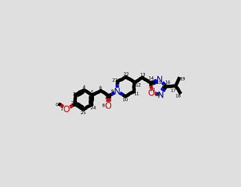 COc1ccc(CC(=O)N2CCC(Cc3nc(C(C)C)no3)CC2)cc1